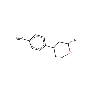 CSc1ccc(C2CCOC(C#N)C2)cc1